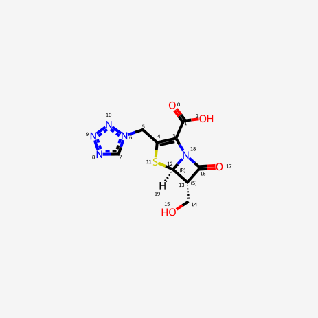 O=C(O)C1=C(Cn2cnnn2)S[C@@H]2[C@@H](CO)C(=O)N12